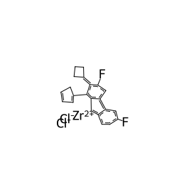 Fc1ccc2c(c1)=c1cc(F)c(=C3CCC3)c(C3=CC=CC3)c1[C]=2[Zr+2].[Cl-].[Cl-]